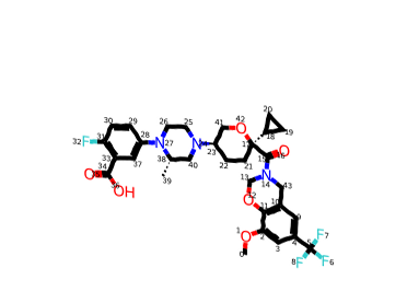 COc1cc(C(F)(F)F)cc2c1OCN(C(=O)[C@@]1(C3CC3)CC[C@@H](N3CCN(c4ccc(F)c(C(=O)O)c4)[C@@H](C)C3)CO1)C2